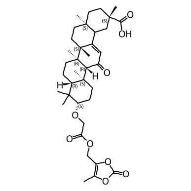 Cc1oc(=O)oc1COC(=O)CO[C@H]1CC[C@]2(C)[C@H]3C(=O)C=C4C5C[C@@](C)(C(=O)O)CC[C@]5(C)CC[C@@]4(C)[C@]3(C)CC[C@H]2C1(C)C